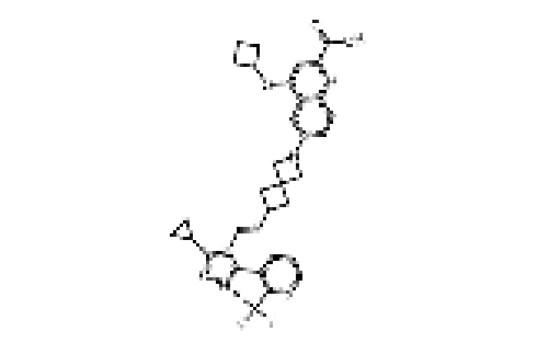 O=C(O)c1cc(OC2CCC2)c2cc(N3CC4(CC(C=Cc5c(-c6cccnc6C(F)(F)F)noc5C5CC5)C4)C3)ccc2n1